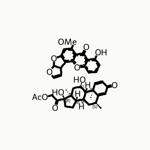 CC(=O)OCC(=O)[C@@]1(O)CC[C@H]2[C@@H]3C[C@H](C)C4=CC(=O)C=C[C@]4(C)[C@H]3[C@@H](O)C[C@@]21C.COc1cc2c(c3oc4cccc(O)c4c(=O)c13)C1C=COC1O2